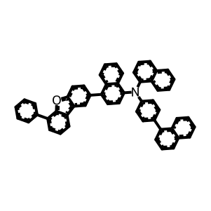 c1ccc(-c2cccc3c2oc2ccc(-c4ccc(N(c5ccc(-c6cccc7ccccc67)cc5)c5cccc6ccccc56)c5ccccc45)cc23)cc1